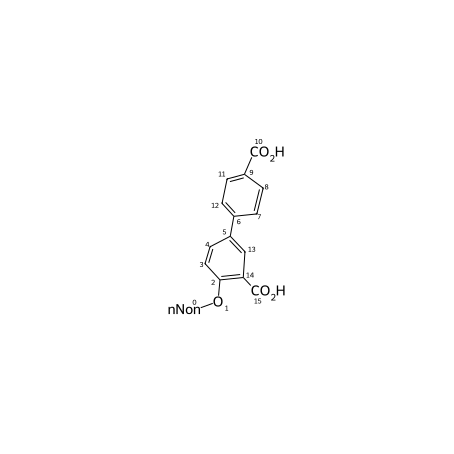 CCCCCCCCCOc1ccc(-c2ccc(C(=O)O)cc2)cc1C(=O)O